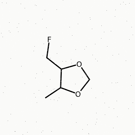 CC1OCOC1CF